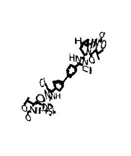 COC(=O)N[C@H](C(=O)N1C[Si](C)(C)C[C@H]1c1nc(Cl)c(-c2ccc(-c3ccc(-c4[nH]c([C@@H]5C[C@H]6C[C@H]6N5C(=O)[C@@H](NC(=O)OC)C(C)C)nc4Cl)cc3)cc2)[nH]1)C(C)C